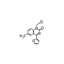 Cc1ccc2c(c1)c(-c1ccco1)nc(=O)n2CC1CC1